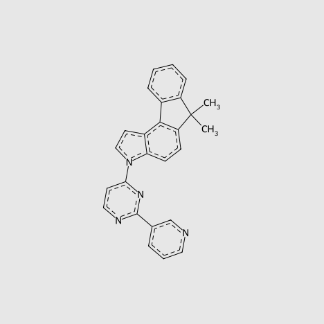 CC1(C)c2ccccc2-c2c1ccc1c2ccn1-c1ccnc(-c2cccnc2)n1